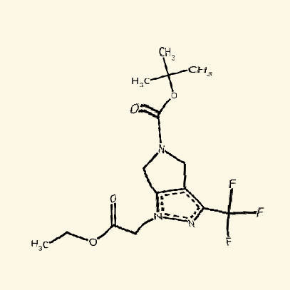 CCOC(=O)Cn1nc(C(F)(F)F)c2c1CN(C(=O)OC(C)(C)C)C2